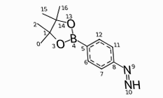 CC1(C)OB(c2ccc(N=N)cc2)OC1(C)C